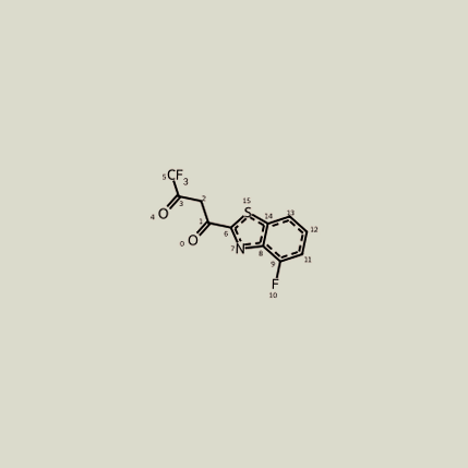 O=C(CC(=O)C(F)(F)F)c1nc2c(F)cccc2s1